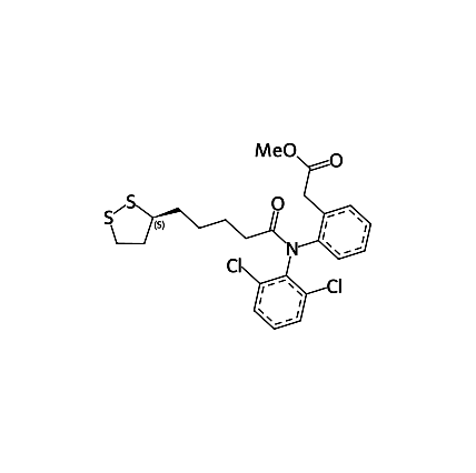 COC(=O)Cc1ccccc1N(C(=O)CCCC[C@H]1CCSS1)c1c(Cl)cccc1Cl